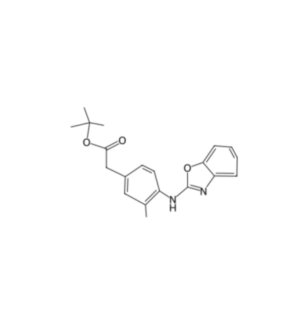 Cc1cc(CC(=O)OC(C)(C)C)ccc1Nc1nc2ccccc2o1